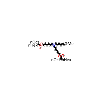 CCCCCCCCC(CCCCCC)C(=O)OCCCCCCN(CCCCCCOC)CCCCCCOC(=O)C(CCCCCC)CCCCCCCC